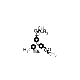 C=CC(=O)OCc1ccc(N(c2ccc(COC(=O)C(=C)C)cc2)c2ccc(C)c(CCCC)c2)cc1